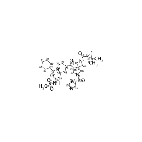 CC1(C)C[C@@H]1C(=O)N1CC2(CN(C(=O)c3cncs3)C[C@H]2C(=O)N2CCN(CC3CCCCC3)C(CC(=O)NS(C)(=O)=O)C2)C1